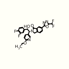 CCOc1ccc([C@H]([C@@H](O)c2ccc(F)c(F)c2)N2Cc3ccc(-c4nnc(C(F)F)o4)cc3C2=O)cn1